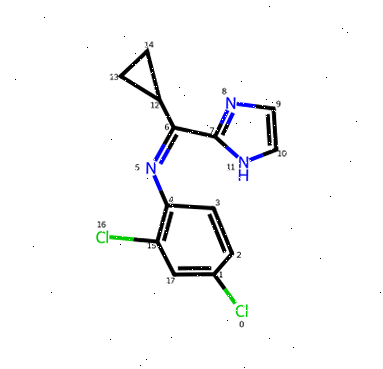 Clc1ccc(N=C(c2ncc[nH]2)C2CC2)c(Cl)c1